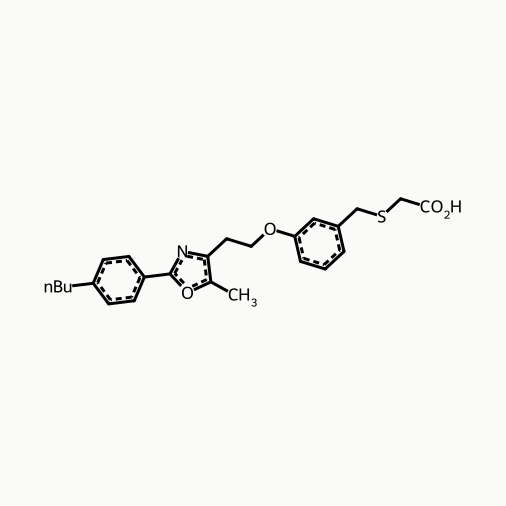 CCCCc1ccc(-c2nc(CCOc3cccc(CSCC(=O)O)c3)c(C)o2)cc1